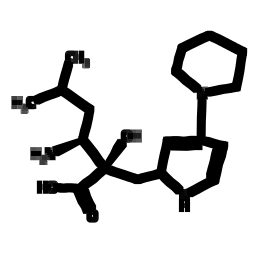 CC(C)C[C@H](N)[C@](O)(CC1C=C(N2CCCCC2)C=CN1)C(=O)O